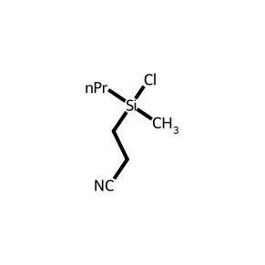 CCC[Si](C)(Cl)CCC#N